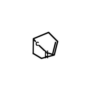 C1=C2CCC(C1)CN2